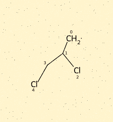 [CH2]C(Cl)CCl